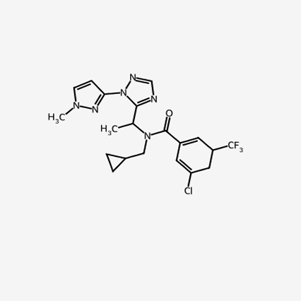 CC(c1ncnn1-c1ccn(C)n1)N(CC1CC1)C(=O)C1=CC(C(F)(F)F)CC(Cl)=C1